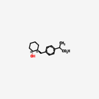 CC(C(=O)O)c1ccc(C[C@@H]2CCCC[C@H]2O)cc1